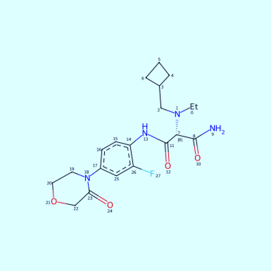 CCN(CC1CCC1)[C@H](C(N)=O)C(=O)Nc1ccc(N2CCOCC2=O)cc1F